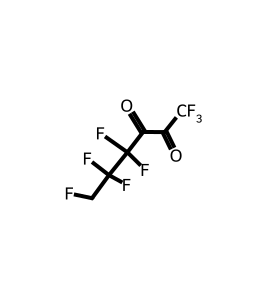 O=C(C(=O)C(F)(F)C(F)(F)CF)C(F)(F)F